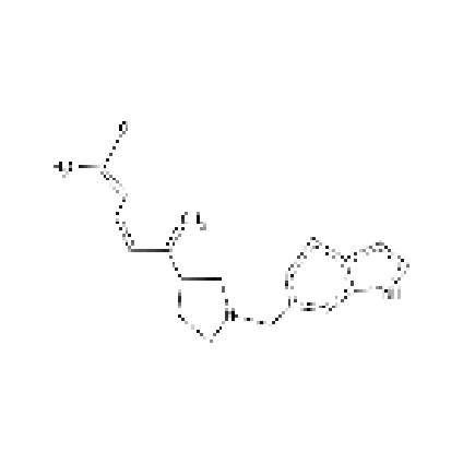 C=C(/C=C\C=C(/C)O)C1CCN(Cc2ccc3cc[nH]c3c2)C1